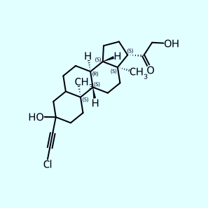 C[C@]12CC[C@H]3[C@@H](CCC4CC(O)(C#CCl)CC[C@@]43C)[C@@H]1CC[C@@H]2C(=O)CO